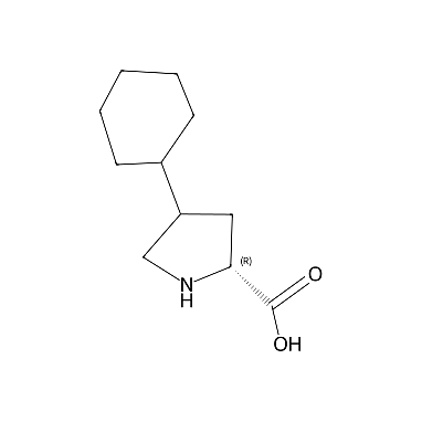 O=C(O)[C@H]1CC(C2CCCCC2)CN1